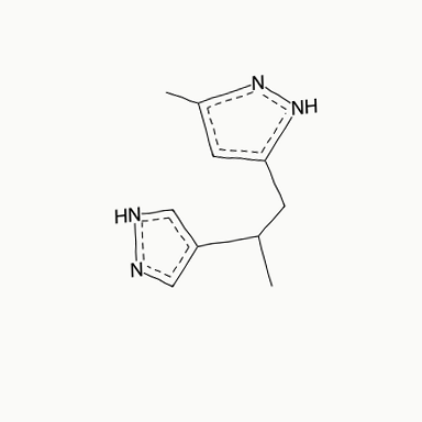 Cc1cc(CC(C)c2cn[nH]c2)[nH]n1